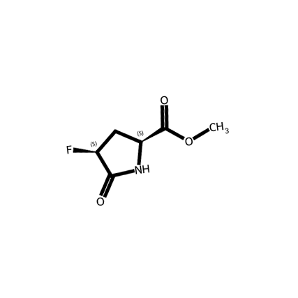 COC(=O)[C@@H]1C[C@H](F)C(=O)N1